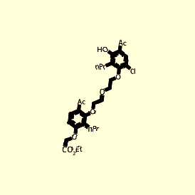 CCCc1c(O)c(C(C)=O)cc(Cl)c1OCCOCCOc1c(C(C)=O)ccc(OCC(=O)OCC)c1CCC